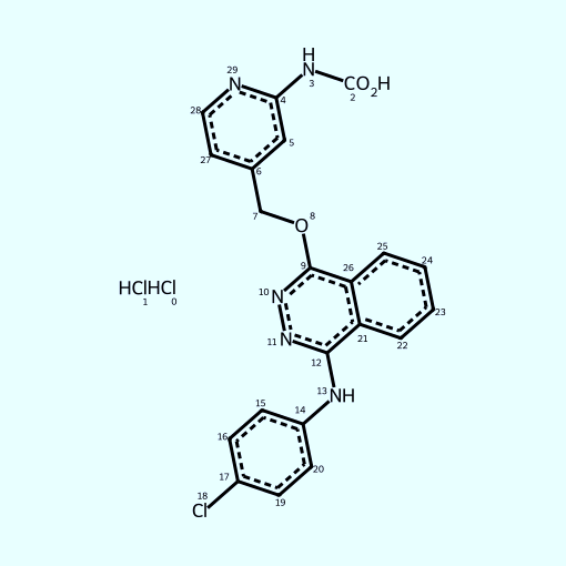 Cl.Cl.O=C(O)Nc1cc(COc2nnc(Nc3ccc(Cl)cc3)c3ccccc23)ccn1